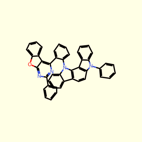 c1ccc(-c2nc(-c3ccccc3-n3c4ccccc4c4ccc5c(c6ccccc6n5-c5ccccc5)c43)c3c(n2)oc2ccccc23)cc1